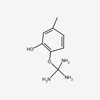 Cc1ccc(OC(N)(N)N)c(O)c1